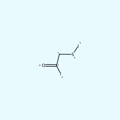 O=C(I)CSI